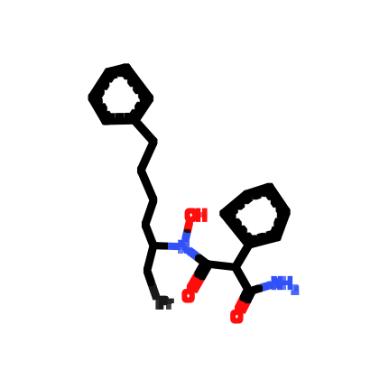 CC(C)CC(CCCCc1ccccc1)N(O)C(=O)C(C(N)=O)c1ccccc1